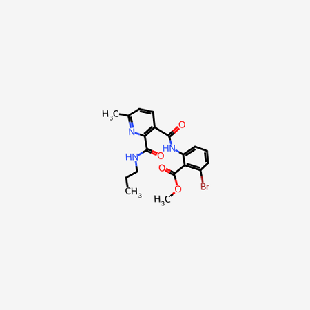 CCCNC(=O)c1nc(C)ccc1C(=O)Nc1cccc(Br)c1C(=O)OC